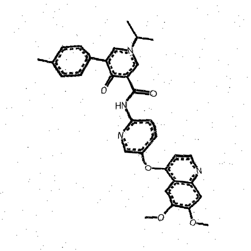 COc1cc2nccc(Oc3ccc(NC(=O)c4cn(C(C)C)cc(-c5ccc(C)cc5)c4=O)nc3)c2cc1OC